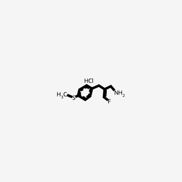 CSc1ccc(CC(=CF)CN)cc1.Cl